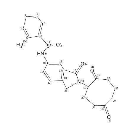 Cc1ccccc1[S+]([O-])Nc1ccc2c(c1)C(=O)N(C1CCC(=O)CCCC1=O)C2